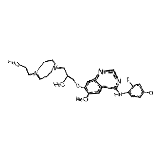 COc1cc2c(Nc3ccc(Cl)cc3F)ncnc2cc1OCC(O)CN1CCN(CCO)CC1